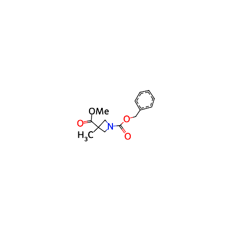 COC(=O)C1(C)CN(C(=O)OCc2ccccc2)C1